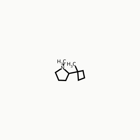 CN1CCCC1C1(C)CCC1